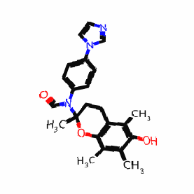 Cc1c(C)c2c(c(C)c1O)CCC(C)(N(C=O)c1ccc(-n3ccnc3)cc1)O2